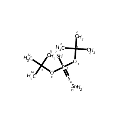 CC(C)(C)OP(=S)(S)OC(C)(C)C.[SnH2]